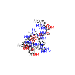 C[C@H](NC(=O)[C@H](C)NC(=O)[C@H](Cc1ccccc1)NC(=O)CNC(=O)[C@H](CO)NC(=O)[C@@H](N)CC(=O)O)C(=O)N[C@@H](Cc1ccc(O)cc1)C(=O)N[C@@H](CO)C(=O)N[C@@H](CCCNC(=N)N)C(=O)N[C@@H](Cc1ccc(O)cc1)C(=O)O